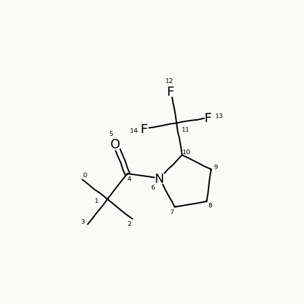 CC(C)(C)C(=O)N1CCCC1C(F)(F)F